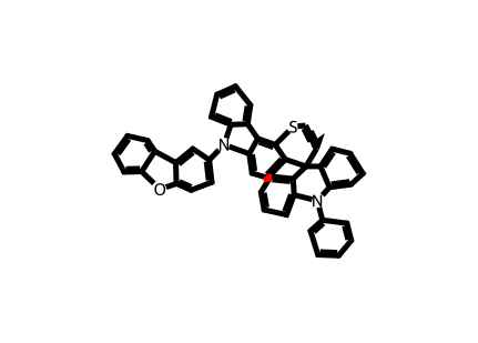 c1ccc(N2c3ccccc3C3(c4ccccc4Sc4c3ccc3c4c4ccccc4n3-c3ccc4oc5ccccc5c4c3)c3ccccc32)cc1